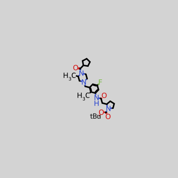 Cc1c(CN2CCN(C(=O)C3CCCC3)C(C)C2)cc(F)cc1NC(=O)CC1CCCN1C(=O)OC(C)(C)C